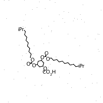 CC(C)CCCCCCCCCCOC(=O)OC1CC(OC(=O)O)CC(OC(=O)OCCCCCCCCCCC(C)C)C1